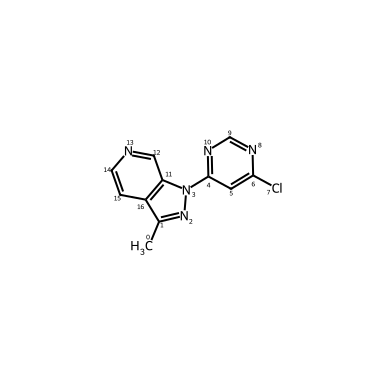 Cc1nn(-c2cc(Cl)ncn2)c2cnccc12